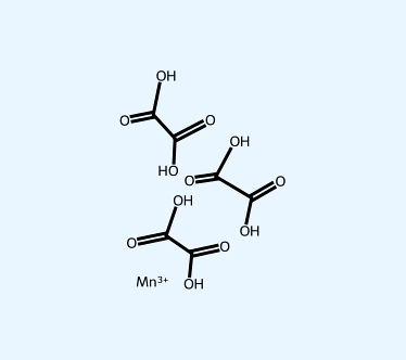 O=C(O)C(=O)O.O=C(O)C(=O)O.O=C(O)C(=O)O.[Mn+3]